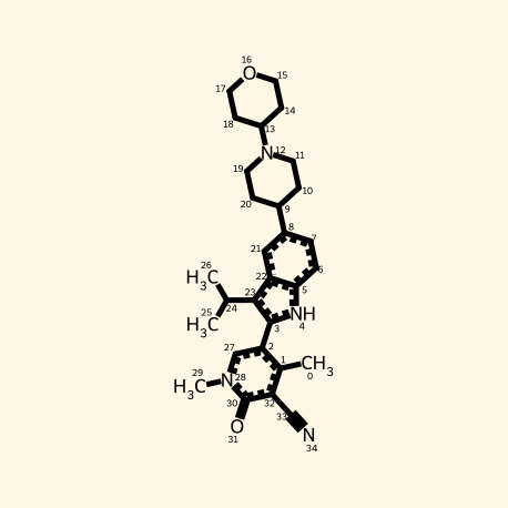 Cc1c(-c2[nH]c3ccc(C4CCN(C5CCOCC5)CC4)cc3c2C(C)C)cn(C)c(=O)c1C#N